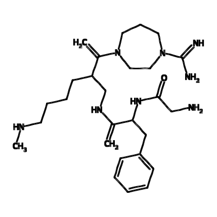 C=C(NCC(CCCCNC)C(=C)N1CCCN(C(=N)N)CC1)C(Cc1ccccc1)NC(=O)CN